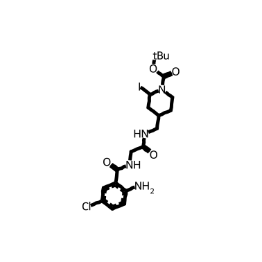 CC(C)(C)OC(=O)N1CCC(CNC(=O)CNC(=O)c2cc(Cl)ccc2N)CC1I